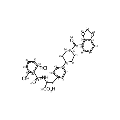 O=C(N[C@@H](Cc1ccc(C2CCN(C(=O)c3cccc4c3OCO4)CC2)cc1)C(=O)O)c1c(Cl)cccc1Cl